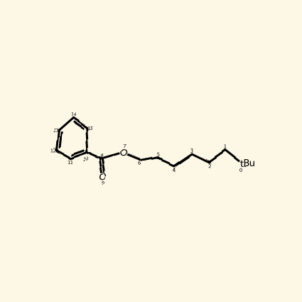 CC(C)(C)CCCCCCOC(=O)c1ccccc1